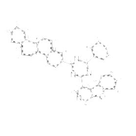 c1ccc(-c2nc(-c3ccc4c(ccc5c6ccccc6ccc45)c3)nc(-c3cncc4oc5ccccc5c34)n2)cc1